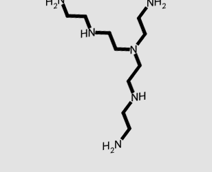 NCCNCCN(CCN)CCNCCN